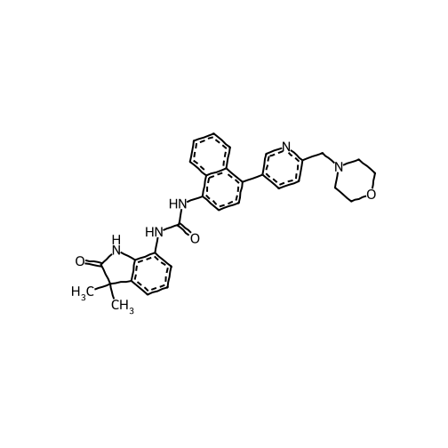 CC1(C)C(=O)Nc2c(NC(=O)Nc3ccc(-c4ccc(CN5CCOCC5)nc4)c4ccccc34)cccc21